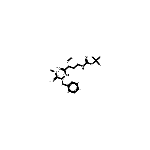 CC[C@H](CCNC(=O)OC(C)(C)C)C(=O)N[C@@H](Cc1ccccc1)C(=O)OC